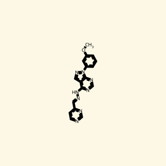 COc1cccc(-n2ncc3c(N/N=C/c4ccncn4)ncnc32)c1